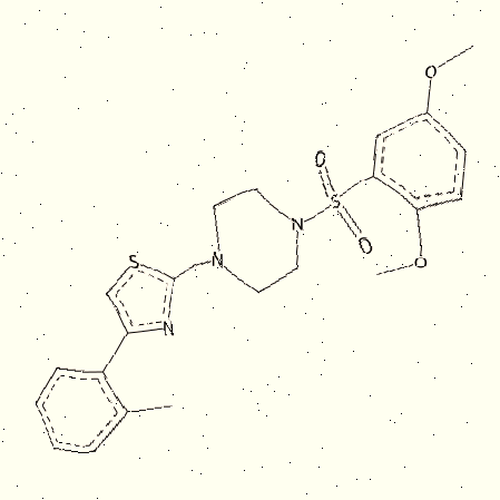 COc1ccc(OC)c(S(=O)(=O)N2CCN(c3nc(-c4ccccc4C)cs3)CC2)c1